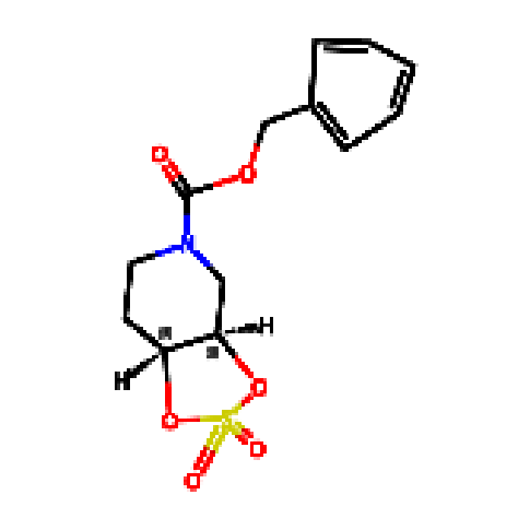 O=C(OCc1ccccc1)N1CC[C@@H]2OS(=O)(=O)O[C@@H]2C1